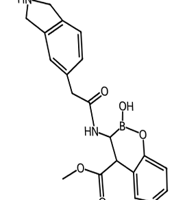 COC(=O)C1c2ccccc2OB(O)C1NC(=O)Cc1ccc2c(c1)CNC2